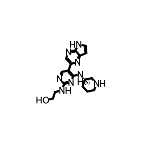 OCCNc1ncc(-c2cnc3[nH]ccc3n2)c(N[C@H]2CCCNC2)n1